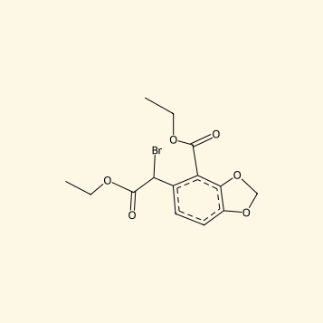 CCOC(=O)c1c(C(Br)C(=O)OCC)ccc2c1OCO2